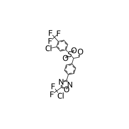 O=CC(c1ccc(-c2noc(C(F)(F)Cl)n2)cc1)S(=O)(=O)c1ccc(C(F)(F)F)c(Cl)c1